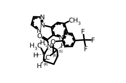 Cc1cnc(C(=O)N2[C@H](C)[C@@H]3CC[C@H]2[C@H](Oc2ccc(C(F)(F)F)cn2)C3)c(-n2nccn2)c1